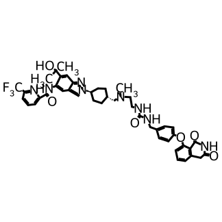 CN(CCNC(=O)NCc1ccc(Oc2cccc3c2C(=O)NC(=O)C3)cc1)C[C@H]1CC[C@H](n2cc3cc(NC(=O)c4cccc(C(F)(F)F)n4)c(C(C)(C)O)cc3n2)CC1